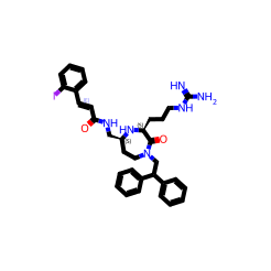 N=C(N)NCCC[C@@H]1N[C@H](CNC(=O)/C=C/c2ccccc2I)CCN(CC(c2ccccc2)c2ccccc2)C1=O